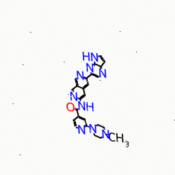 CN1CCN(c2cc(C(=O)Nc3cc4cc(-c5cnc6cc[nH]c6n5)ncc4cn3)ccn2)CC1